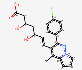 Cc1c(/C=C/C(O)CC(O)CC(=O)O)c(-c2ccc(F)cc2)nn2cccc12